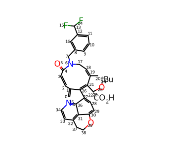 C=C1/C=C\C(=O)N(Cc2cccc(C(F)F)c2)C/C=C(C)\C([C@H](OC(C)(C)C)C(=O)O)=C/1c1ccc2c3c(ccnc13)CCO2